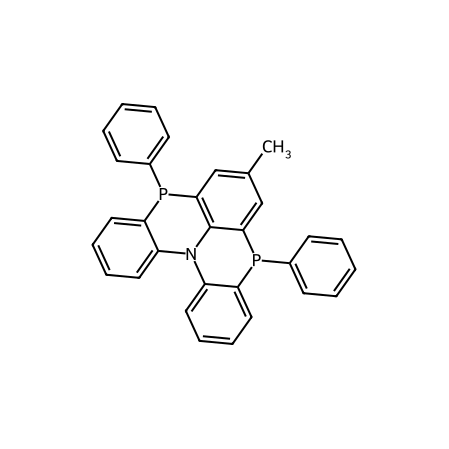 Cc1cc2c3c(c1)P(c1ccccc1)c1ccccc1N3c1ccccc1P2c1ccccc1